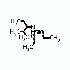 CCO[SiH](NC(CC)C(C)C)OCC